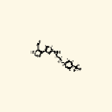 N#Cc1[nH]nnc1-c1csc(NCCNc2ccc(C(F)(F)F)cc2)n1